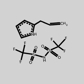 C=CCc1ccc[nH]1.O=S(=O)(NS(=O)(=O)C(F)(F)F)C(F)(F)F